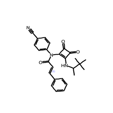 CC(Nc1c(N(C(=O)/C=C/c2ccccc2)c2ccc(C#N)cc2)c(=O)c1=O)C(C)(C)C